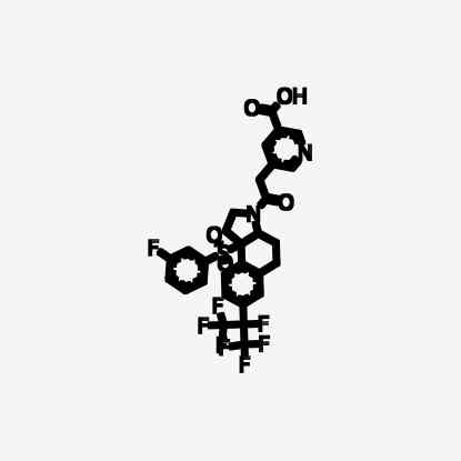 O=C(O)c1cncc(CC(=O)N2CCC3(S(=O)(=O)c4cccc(F)c4)c4ccc(C(F)(C(F)(F)F)C(F)(F)F)cc4CCC23)c1